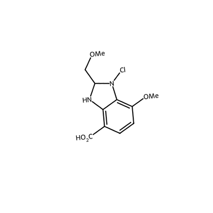 COCC1Nc2c(C(=O)O)ccc(OC)c2N1Cl